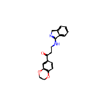 O=C(CCNC1=NCc2ccccc21)c1ccc2c(c1)OCCO2